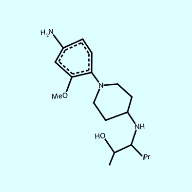 COc1cc(N)ccc1N1CCC(NC(C(C)C)C(C)O)CC1